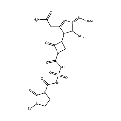 CCN1CCN(C(=O)NS(=O)(=O)NC(=O)N2CC(N3C(CC(N)=O)=C/S(=N/OC)C3N)C2=O)C1=O